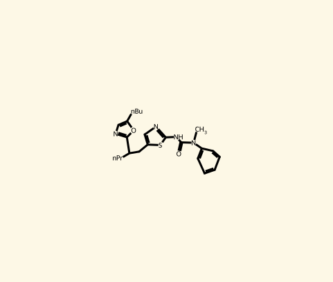 CCCCc1cnc(C(CCC)Cc2cnc(NC(=O)N(C)c3ccccc3)s2)o1